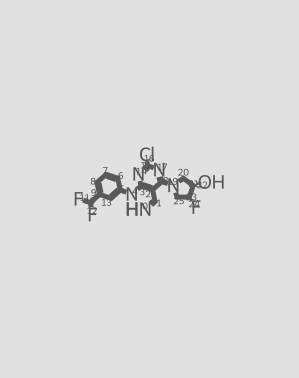 N=Cc1c(Nc2cccc(C(F)F)c2)nc(Cl)nc1N1C[C@H](O)[C@@H](F)C1